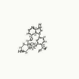 Cc1cc(-c2c[nH]c3nccc(OCC4(C)CCNCC4)c23)ccc1C(F)F